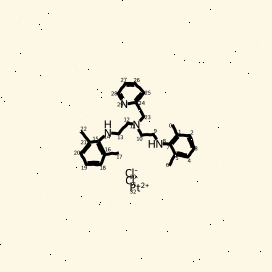 Cc1cccc(C)c1NCCN(CCNc1c(C)cccc1C)Cc1ccccn1.[Cl-].[Cl-].[Pt+2]